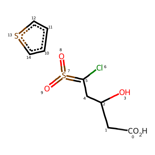 O=C(O)CC(O)CC(Cl)=S(=O)=O.c1ccsc1